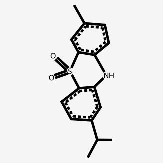 Cc1ccc2c(c1)S(=O)(=O)c1ccc(C(C)C)cc1N2